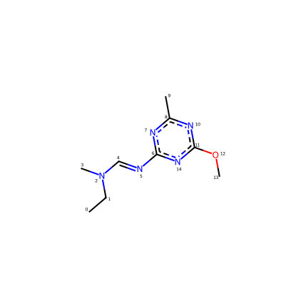 CCN(C)C=Nc1nc(C)nc(OC)n1